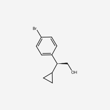 OC[C@H](c1ccc(Br)cc1)C1CC1